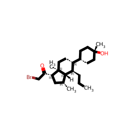 CCC[C@H]1[C@@H]2[C@H](C)C[C@H](C(=O)CBr)[C@@]2(C)CC[C@@H]1[C@H]1CC[C@@](C)(O)CC1